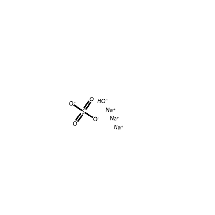 O=S(=O)([O-])[O-].[Na+].[Na+].[Na+].[OH-]